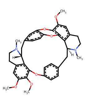 COc1cc2c3c(c1OC)Oc1ccc(cc1)C[C@H]1c4c(cc(OC)c5c4Oc4ccc(cc4O5)C[C@H]3N(C)CC2)CCN1C